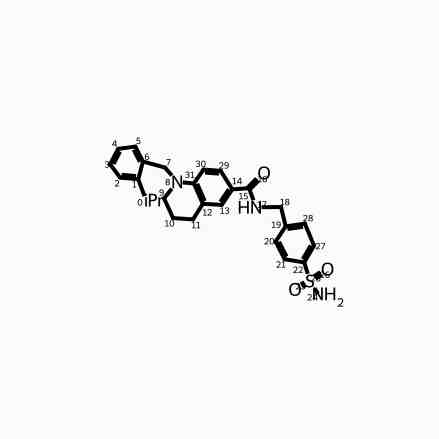 CC(C)c1ccccc1CN1CCCc2cc(C(=O)NCc3ccc(S(N)(=O)=O)cc3)ccc21